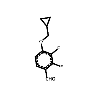 O=Cc1ccc(OCC2CC2)c(F)c1F